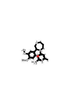 CCOc1cc(C2COCCCN2c2cc(C)nc(N)n2)c(Cl)cc1OC